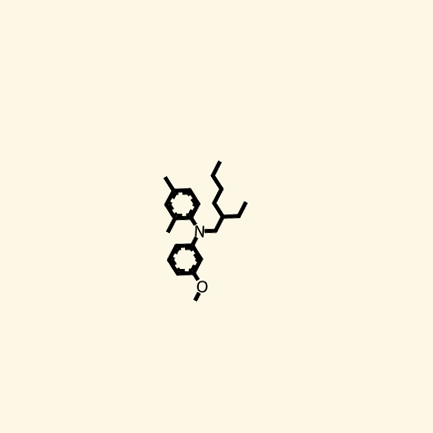 CCCCC(CC)CN(c1cccc(OC)c1)c1ccc(C)cc1C